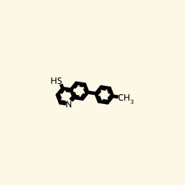 Cc1ccc(-c2ccc3c(S)ccnc3c2)cc1